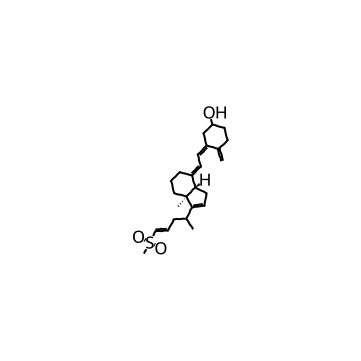 C=C1CCC(O)C/C1=C/C=C1\CCC[C@]2(C)C(C(C)C/C=C/S(C)(=O)=O)=CC[C@@H]12